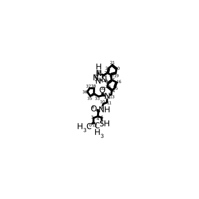 CC(C)CC(CS)C(=O)NCCN(Cc1ccc(-c2ccccc2-c2nnn[nH]2)cc1)C(=O)CC1CCCC1